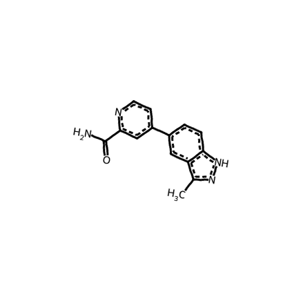 Cc1n[nH]c2ccc(-c3ccnc(C(N)=O)c3)cc12